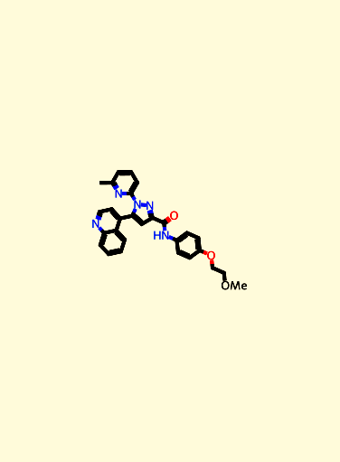 COCCOc1ccc(NC(=O)c2cc(-c3ccnc4ccccc34)n(-c3cccc(C)n3)n2)cc1